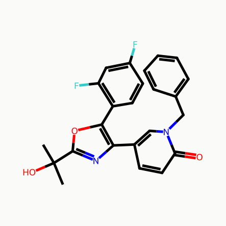 CC(C)(O)c1nc(-c2ccc(=O)n(Cc3ccccc3)c2)c(-c2ccc(F)cc2F)o1